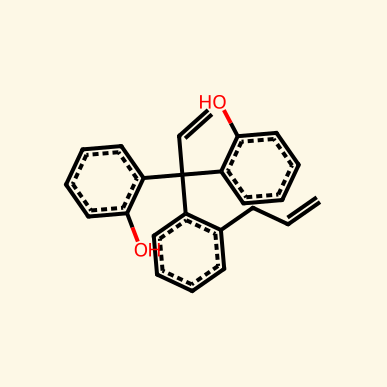 C=CCc1ccccc1C(C=C)(c1ccccc1O)c1ccccc1O